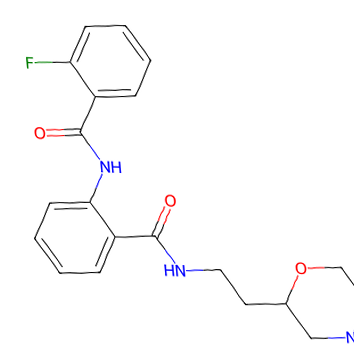 O=C(Nc1ccccc1C(=O)NCCC1CNCCO1)c1ccccc1F